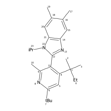 CCC(C)(C)c1cc(C(C)(C)C)nc(C)c1-c1nc2cc(C)c(C)cc2n1C(C)C